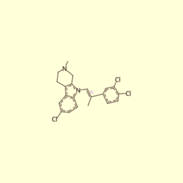 C/C(=C\n1c2c(c3cc(Cl)ccc31)CCN(C)C2)c1ccc(Cl)c(Cl)c1